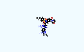 Cc1ccc(S(=O)(=O)n2c(C(=O)c3cnn(-c4ccc5[nH]c(C)nc5c4)c3N)cc3cc(C(=O)N4CCOCC4)ccc32)cc1